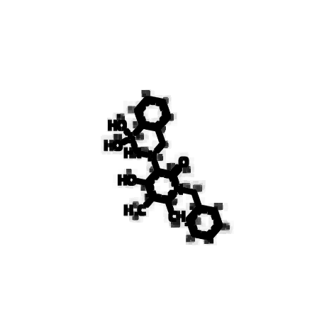 Cc1c(O)c(N2Cc3ccccc3S(O)(O)N2)c(=O)n(Cc2ccccc2)c1C